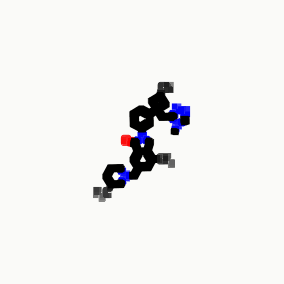 Cn1cnnc1CC1(c2cccc(N3Cc4c(cc(CN5CCC[C@H](C(F)(F)F)C5)cc4C(F)(F)F)C3=O)c2)CC(C#N)C1